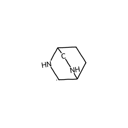 [CH]1NC2CCC1NC2